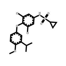 COc1ccc(Oc2c(Cl)cc(NS(=O)(=O)C3CC3)cc2Cl)cc1C(C)C